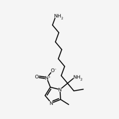 CCC(N)(CCCCCCCN)n1c([N+](=O)[O-])cnc1C